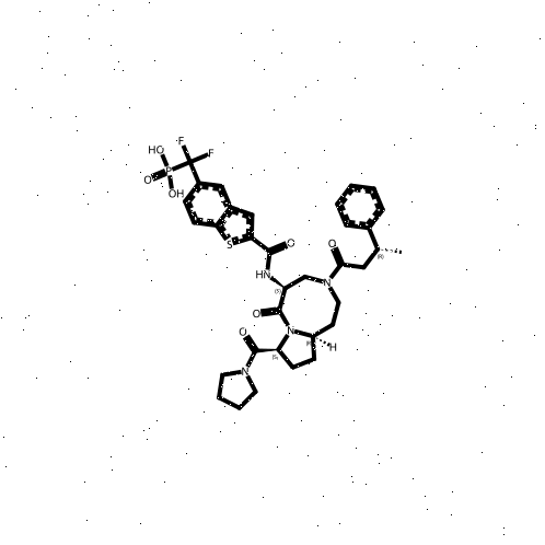 C[C@H](CC(=O)N1CC[C@H]2CC[C@@H](C(=O)N3CCCC3)N2C(=O)[C@@H](NC(=O)c2cc3cc(C(F)(F)P(=O)(O)O)ccc3s2)C1)c1ccccc1